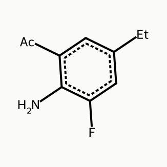 CCc1cc(F)c(N)c(C(C)=O)c1